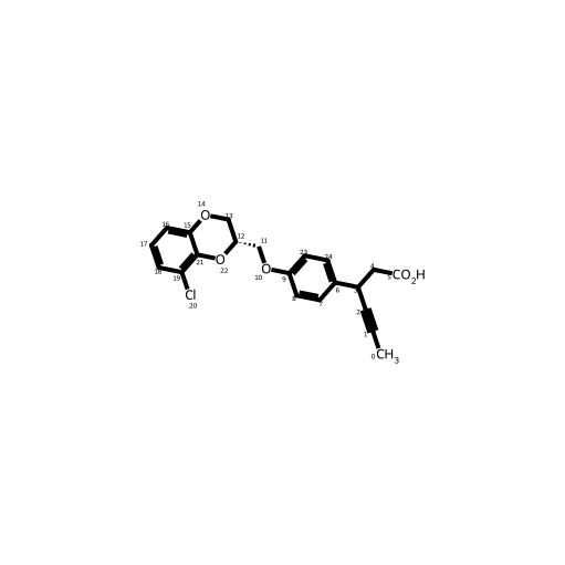 CC#CC(CC(=O)O)c1ccc(OC[C@H]2COc3cccc(Cl)c3O2)cc1